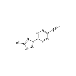 N#Cc1ccc(-c2csc(Br)n2)cc1